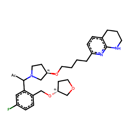 CC(=O)C(c1cc(F)ccc1CO[C@@H]1CCOC1)N1CC[C@@H](OCCCCc2ccc3c(n2)NCCC3)C1